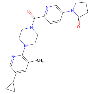 Cc1cc(C2CC2)cnc1N1CCN(C(=O)c2ccc(N3CCCC3=O)cn2)CC1